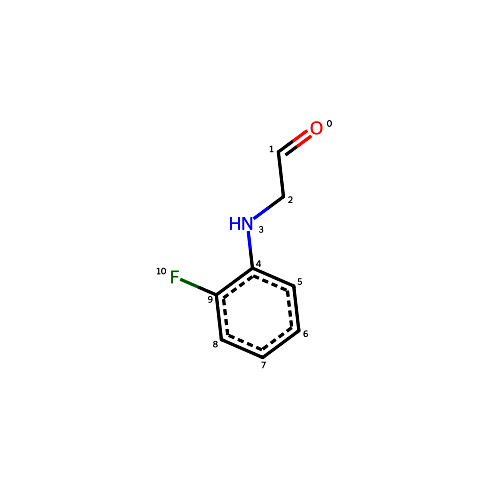 O=CCNc1ccccc1F